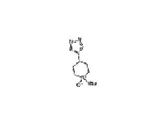 CC(C)(C)[N+]1([O-])CCC(n2cnnc2)CC1